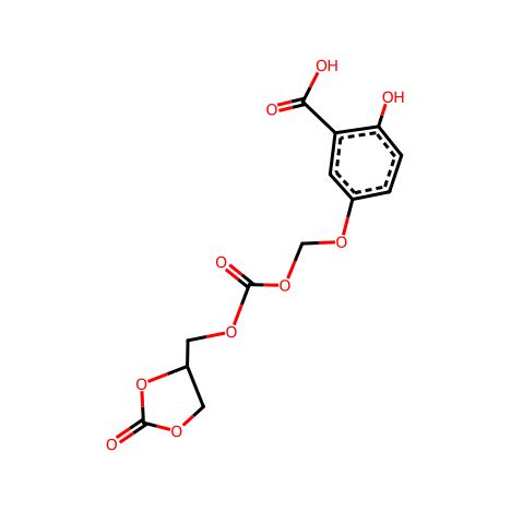 O=C(OCOc1ccc(O)c(C(=O)O)c1)OCC1COC(=O)O1